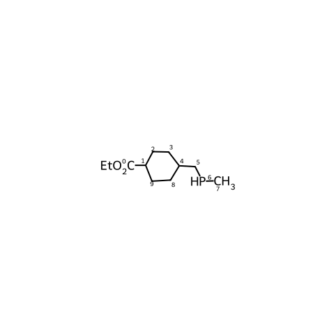 CCOC(=O)C1CCC(CPC)CC1